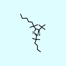 CCCCCC(C)(C)C1N=C(C(C)(C)CCCC)N=C1C(C)(C)C